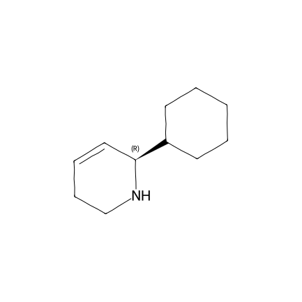 C1=C[C@@H](C2CCCCC2)NCC1